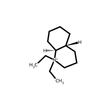 CC[N+]1(CC)CCC[C@H]2CCCC[C@@H]21